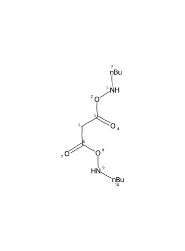 CCCCNOC(=O)CC(=O)ONCCCC